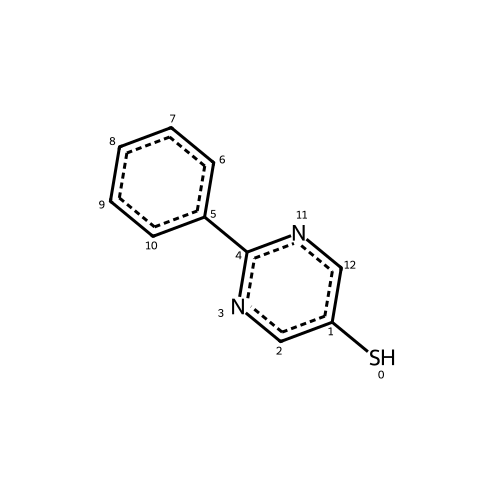 Sc1cnc(-c2ccccc2)nc1